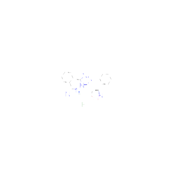 FC(F)c1onc(-c2ccccc2)c1-c1nnc2c3ccccc3c(N3CCCC3)nn12